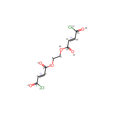 O=C(Cl)/C=C/C(=O)OCCOC(=O)/C=C/C(=O)Cl